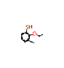 CCOc1c(C)cccc1S